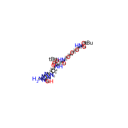 CN(c1ccc(C(=O)N[C@@H](CCC(=O)NCCOCCOCCOCCNC(=O)OC(C)(C)C)C(=O)OC(C)(C)C)cc1)c1cnc2nc(N)nc(O)c2n1